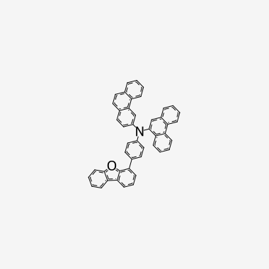 c1ccc2c(c1)ccc1ccc(N(c3ccc(-c4cccc5c4oc4ccccc45)cc3)c3cc4ccccc4c4ccccc34)cc12